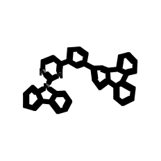 c1cc(-c2ccc3c4ccccc4c4ccccc4c3c2)cc(-c2ccnc(-n3c4ccccc4c4ccccc43)n2)c1